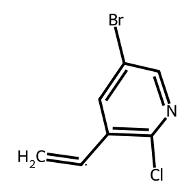 C=[C]c1cc(Br)cnc1Cl